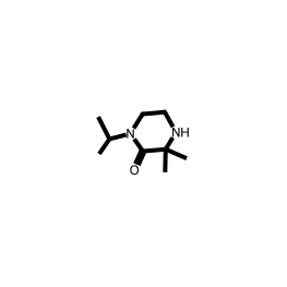 CC(C)N1CCNC(C)(C)C1=O